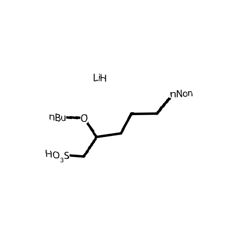 CCCCCCCCCCCCC(CS(=O)(=O)O)OCCCC.[LiH]